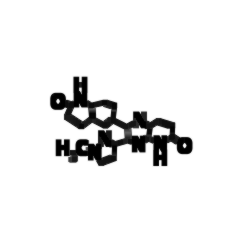 Cn1ccc(-c2nc3[nH]c(=O)ccc3nc2-c2ccc3[nH]c(=O)ccc3c2)n1